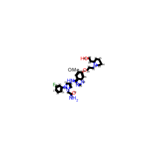 COc1cc2c(NC3=CN(CC(N)=O)N(c4cccc(F)c4)C3)ncnc2cc1OCCCN1CCCCC1CCO